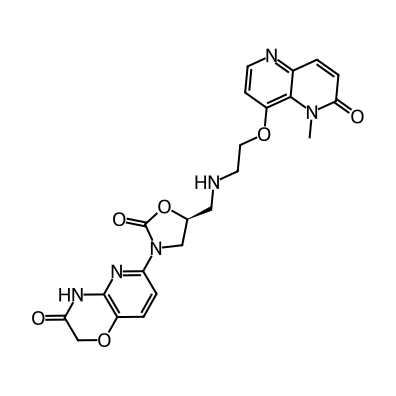 Cn1c(=O)ccc2nccc(OCCNC[C@H]3CN(c4ccc5c(n4)NC(=O)CO5)C(=O)O3)c21